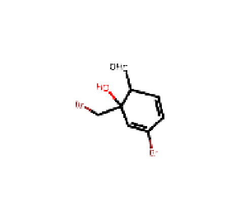 O=CC1C=CC(Br)=CC1(O)CBr